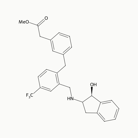 COC(=O)Cc1cccc(Cc2ccc(C(F)(F)F)cc2CNC2Cc3ccccc3[C@@H]2O)c1